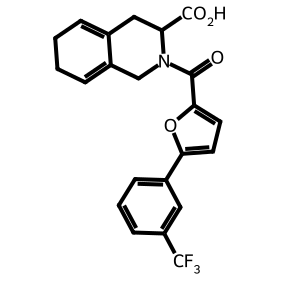 O=C(O)C1CC2=CCCC=C2CN1C(=O)c1ccc(-c2cccc(C(F)(F)F)c2)o1